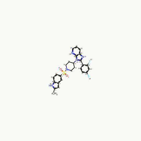 Cc1cc2cc(S(=O)(=O)N3CCC(n4c(-c5ccc(F)cc5F)nc5cccnc54)CC3)ccc2[nH]1